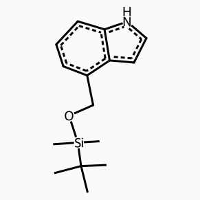 CC(C)(C)[Si](C)(C)OCc1cccc2[nH]ccc12